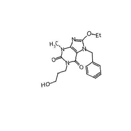 CCOc1nc2c(c(=O)n(CCCO)c(=O)n2C)n1Cc1cc#ccc1